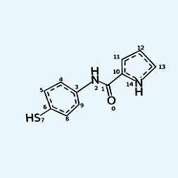 O=C(Nc1ccc(S)cc1)c1ccc[nH]1